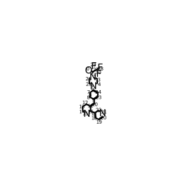 O=C(N1CCN(c2ccc(C=C3CCCN=C3c3cccnc3)cc2)CC1)C(F)(F)F